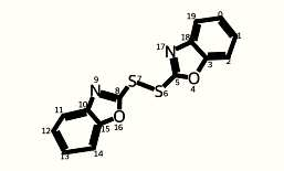 c1ccc2oc(SSc3nc4ccccc4o3)nc2c1